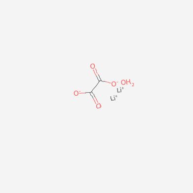 O.O=C([O-])C(=O)[O-].[Li+].[Li+]